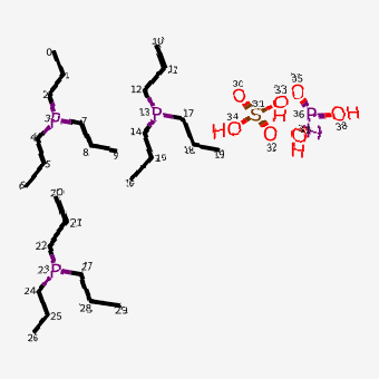 CCCP(CCC)CCC.CCCP(CCC)CCC.CCCP(CCC)CCC.O=S(=O)(O)O.O=[PH](O)O